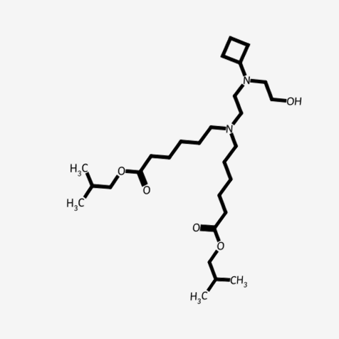 CC(C)COC(=O)CCCCCN(CCCCCC(=O)OCC(C)C)CCN(CCO)C1CCC1